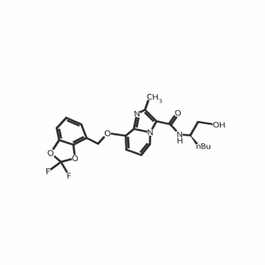 CCCC[C@H](CO)NC(=O)c1c(C)nc2c(OCc3cccc4c3OC(F)(F)O4)cccn12